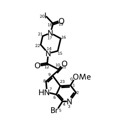 COc1cnc(Br)c2[nH]cc(C(=O)C(=O)N3CCN(C(=O)I)CC3)c12